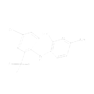 Cc1nc(N)ccc1Nc1ccc(Br)cc1C(F)(F)F